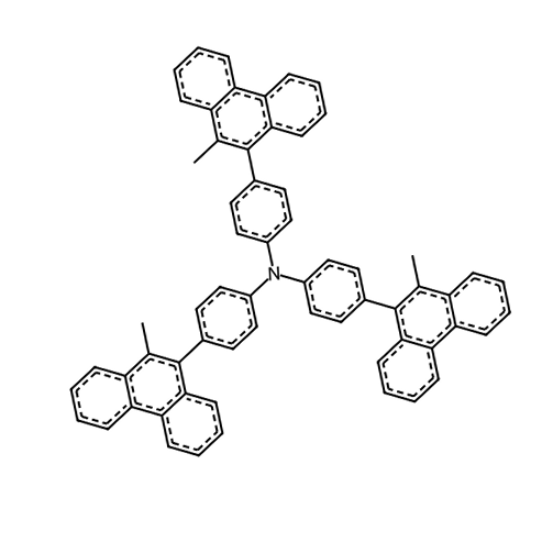 Cc1c(-c2ccc(N(c3ccc(-c4c(C)c5ccccc5c5ccccc45)cc3)c3ccc(-c4c(C)c5ccccc5c5ccccc45)cc3)cc2)c2ccccc2c2ccccc12